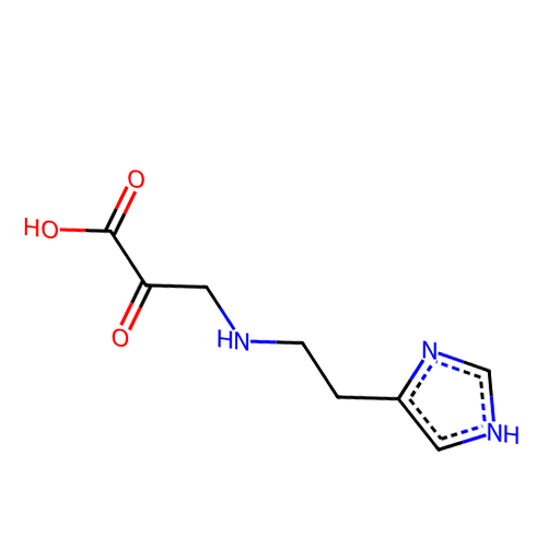 O=C(O)C(=O)CNCCc1c[nH]cn1